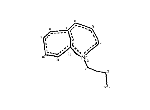 [CH2]CC[n+]1cccc2ccccc21